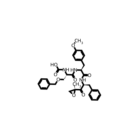 COc1ccc(C[C@H](NC(=O)[C@H](COCc2ccccc2)NC(=O)O)C(=O)N[C@@H](Cc2ccccc2)C(=O)[C@]2(C)CO2)cc1